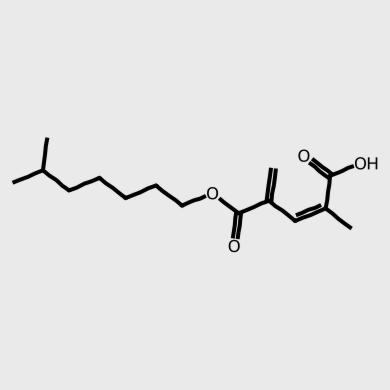 C=C(C=C(C)C(=O)O)C(=O)OCCCCCC(C)C